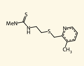 CNC(=S)NCCSCc1ncccc1C